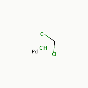 Cl.ClCCl.[Pd]